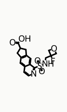 O=C(O)C1Cc2cc3ccnc(S(=O)(=O)NCC4(F)COC4)c3cc2C1